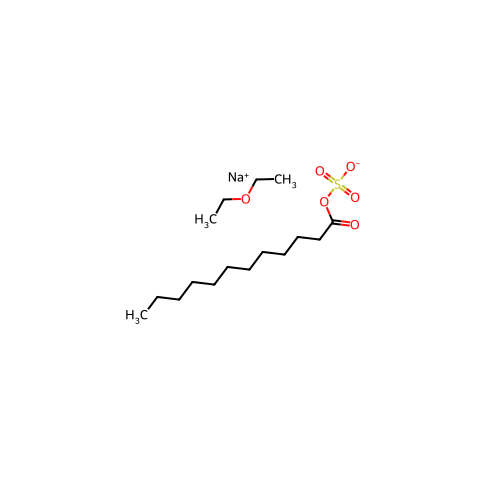 CCCCCCCCCCCC(=O)OS(=O)(=O)[O-].CCOCC.[Na+]